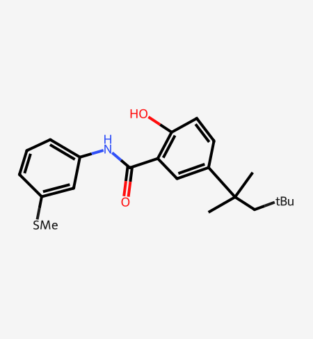 CSc1cccc(NC(=O)c2cc(C(C)(C)CC(C)(C)C)ccc2O)c1